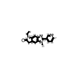 CCN1C(=O)Cc2cc3c(cc21)nc(-c1cccnc1)n3C